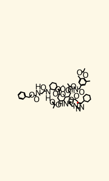 COC(=O)[C@@]1(O[C@@H]2CCCC[C@H]2NC(=O)CNC(=O)OCc2ccccc2)C[C@H](OC(C)=O)[C@@H](NC(=O)Cn2cc(C3CCCCC3)nn2)[C@H]([C@H](OC(C)=O)[C@@H](CNC(=O)c2cc(C)c(OC(C)=O)c(C)c2)OC(C)=O)O1